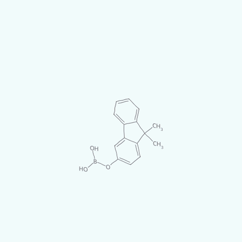 CC1(C)c2ccccc2-c2cc(OB(O)O)ccc21